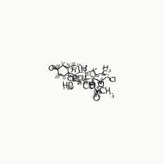 CC(=O)O[C@]1(C(=O)CCl)C(C)C[C@H]2[C@@H]3CCC4=CC(=O)C=C[C@]4(C)[C@@]3(Cl)C(O)C[C@@]21C